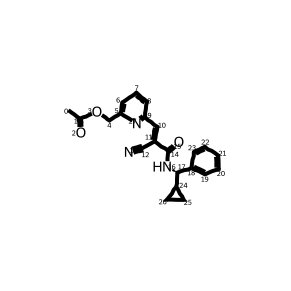 CC(=O)OCc1cccc(/C=C(\C#N)C(=O)N[C@H](c2ccccc2)C2CC2)n1